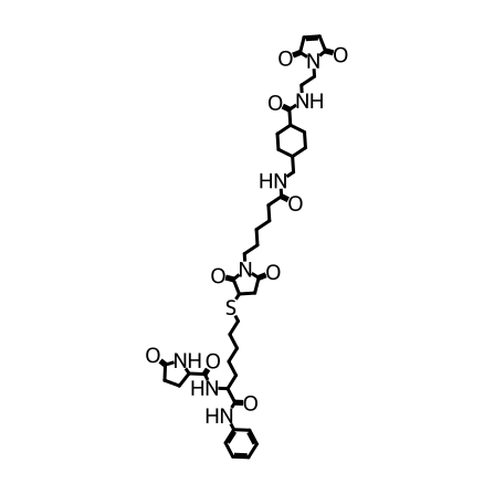 O=C(CCCCCN1C(=O)CC(SCCCCCC(NC(=O)C2CCC(=O)N2)C(=O)Nc2ccccc2)C1=O)NCC1CCC(C(=O)NCCN2C(=O)C=CC2=O)CC1